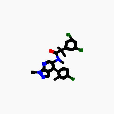 CCn1ncc2c(-c3ccc(F)cc3C)c(N(C)C(=O)C(C)(C)c3cc(Cl)cc(Cl)c3)cnc21